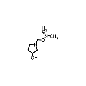 C[SiH](C)OCN1CCC(O)C1